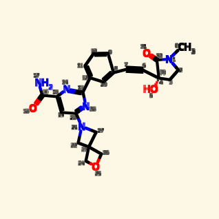 CN1CC[C@@](O)(C#Cc2cccc(-c3nc(C(N)=O)cc(N4CC5(COC5)C4)n3)c2)C1=O